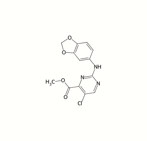 COC(=O)c1nc(Nc2ccc3c(c2)OCO3)ncc1Cl